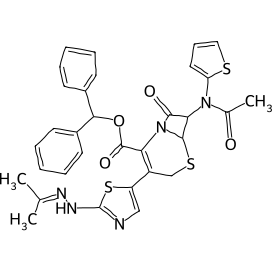 CC(=O)N(c1cccs1)C1C(=O)N2C(C(=O)OC(c3ccccc3)c3ccccc3)=C(c3cnc(NN=C(C)C)s3)CSC12